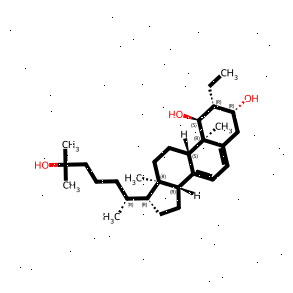 CC[C@@H]1[C@H](O)CC2=CC=C3[C@@H]4CC[C@H]([C@H](C)CCCC(C)(C)O)[C@@]4(C)CC[C@@H]3[C@@]2(C)[C@H]1O